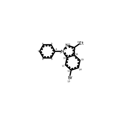 CCc1nn(-c2ccccc2)c2cc(Br)ccc12